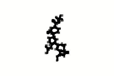 CCc1c[nH]c2ncc(-c3cc(N4CCN(C(=O)OC(C)(C)C)CC4=O)ccc3CN(C)C)cc12